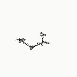 COP(=O)(O)OCCOCCOCCOP(=O)(O)OCCCCCCNC(=O)[C@H](CCCCNC(=O)C(C)C)NC(C)=O